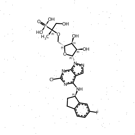 C[C@@](CO)(OC[C@H]1O[C@@H](n2ncc3c(N[C@@H]4CCc5ccc(F)cc54)nc(Cl)nc32)[C@H](O)[C@@H]1O)P(=O)(O)O